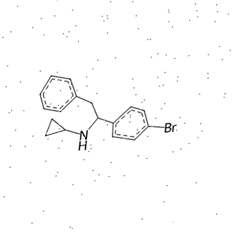 Brc1ccc(C(Cc2ccccc2)NC2CC2)cc1